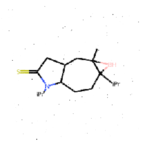 CC(C)N1C(=S)CC2CC3(C)BC3(C(C)C)CCC21